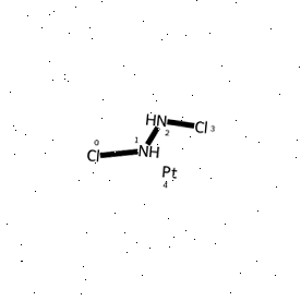 ClNNCl.[Pt]